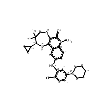 Cn1c(=O)c2c(c3cc(Nc4nc(N5CCCCC5)ncc4Cl)ccc31)N[C@@H](C1CC1)C(F)(F)CO2